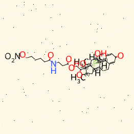 C[C@@H]1C[C@H]2[C@@H]3CCC4=CC(=O)C=C[C@]4(C)[C@@]3(F)[C@@H](O)C[C@]2(C)[C@@]1(O)C(=O)COC(=O)CCNC(=O)CCCCCO[N+](=O)[O-]